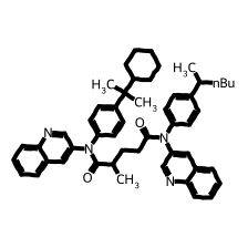 CCCCC(C)c1ccc(N(C(=O)CCC(C)C(=O)N(c2ccc(C(C)(C)C3CCCCC3)cc2)c2cnc3ccccc3c2)c2cnc3ccccc3c2)cc1